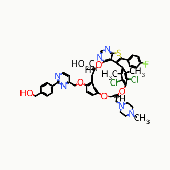 Cc1c(Cl)c2c(Cl)c(C)c1-c1c(-c3ccc(F)cc3)sc3ncnc(c13)O[C@@H](C(=O)O)Cc1cc(ccc1OCc1ccnc(-c3ccc(CO)cc3)n1)OC[C@@H](CN1CCN(C)CC1)O2